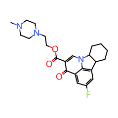 CN1CCN(CCOC(=O)c2cn3c4c(cc(F)cc4c2=O)C2CCCCC23)CC1